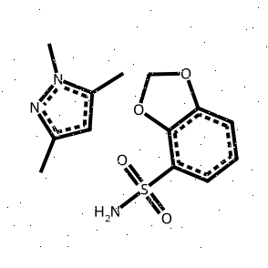 Cc1cc(C)n(C)n1.NS(=O)(=O)c1cccc2c1OCO2